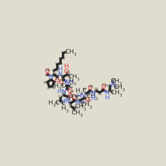 CCCCCCCC[C@@H](C(=O)N[C@H](C(=O)NC(C)(C)C(=O)N[C@@H](CC(C)C)C(=O)N[C@@H](CC(C)C)C(=O)NC(C)(C)C(=O)NC(C)(C)C(=O)NCCC(=O)N[C@@H](C)CN(C)C)[C@@H](C)O)N(C=O)C1CCCC1